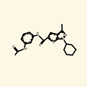 CC(=O)Nc1cccc(NC(=O)c2cc3c(C)nn(C4CCCCC4)c3s2)c1